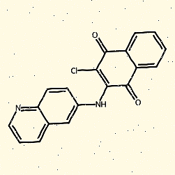 O=C1C(Cl)=C(Nc2ccc3ncccc3c2)C(=O)c2ccccc21